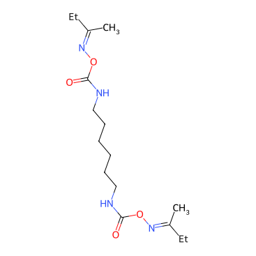 CC/C(C)=N/OC(=O)NCCCCCCNC(=O)O/N=C(\C)CC